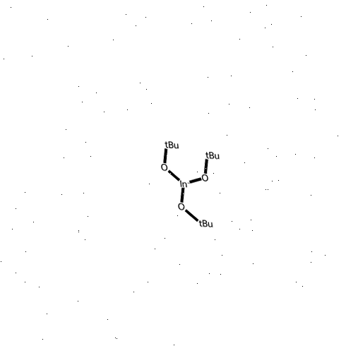 CC(C)(C)[O][In-]([O]C(C)(C)C)[O]C(C)(C)C